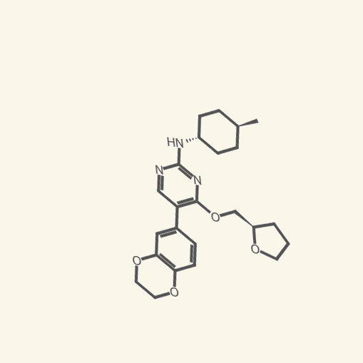 C[C@H]1CC[C@H](Nc2ncc(-c3ccc4c(c3)OCCO4)c(OC[C@H]3CCCO3)n2)CC1